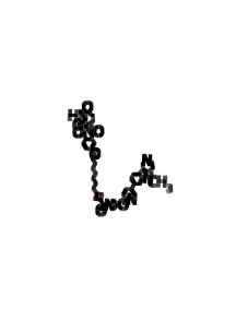 Cn1c2ccncc2c2ccc(-c3ccc(OC4CN(C(=O)C56CC(CCCCCCCOc7ccc8c(c7)C(=O)N(C7CCC(=O)NC7=O)C8=O)(C5)C6)C4)nc3)cc21